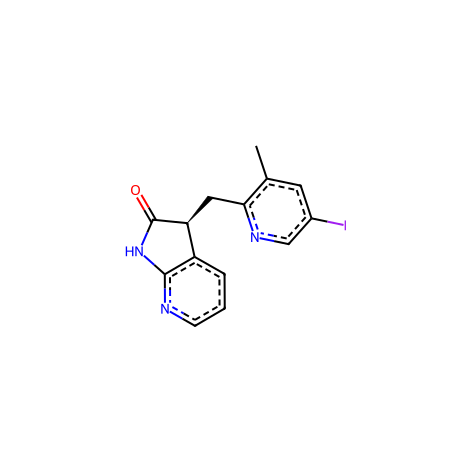 Cc1cc(I)cnc1C[C@@H]1C(=O)Nc2ncccc21